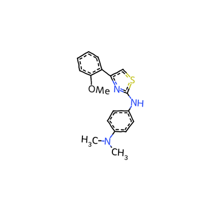 COc1ccccc1-c1csc(Nc2ccc(N(C)C)cc2)n1